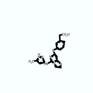 Cc1cc(Nc2nc(Sc3cccc(CC(=O)O)c3)cc3nccn23)n[nH]1